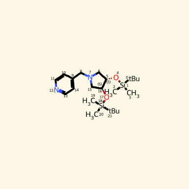 CC(C)(C)[Si](C)(C)O[C@H]1CN(Cc2ccncc2)C[C@@H]1O[Si](C)(C)C(C)(C)C